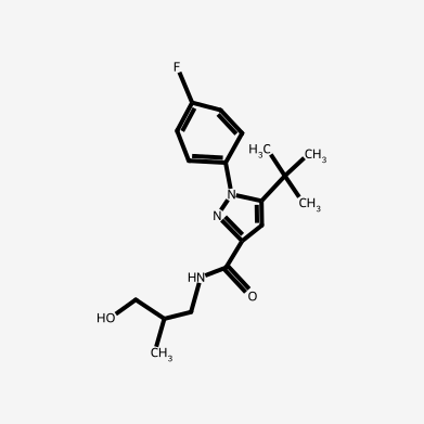 CC(CO)CNC(=O)c1cc(C(C)(C)C)n(-c2ccc(F)cc2)n1